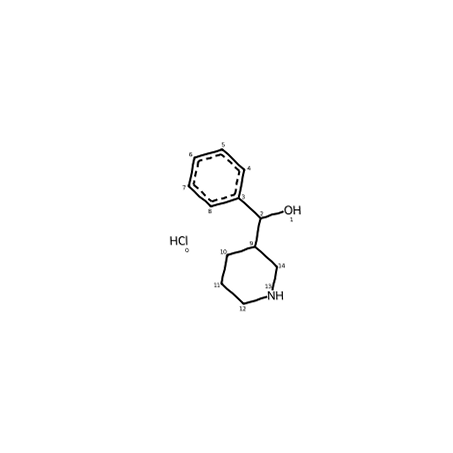 Cl.OC(c1ccccc1)C1CCCNC1